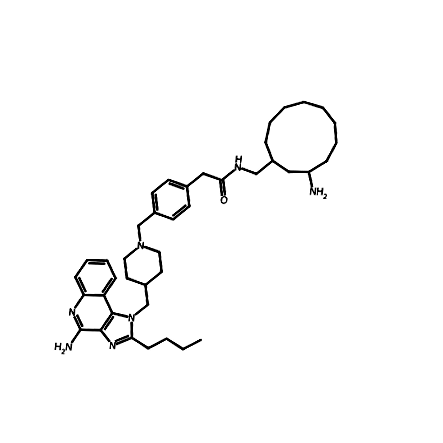 CCCCc1nc2c(N)nc3ccccc3c2n1CC1CCN(Cc2ccc(CC(=O)NCC3CCCCCCCCC(N)C3)cc2)CC1